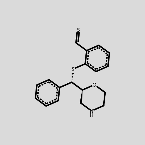 S=Cc1ccccc1S[C@@H](c1ccccc1)[C@@H]1CNCCO1